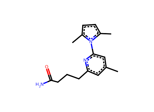 Cc1cc(CCCC(N)=O)nc(-n2c(C)ccc2C)c1